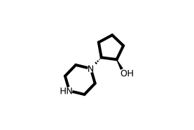 O[C@@H]1CCC[C@H]1N1CCNCC1